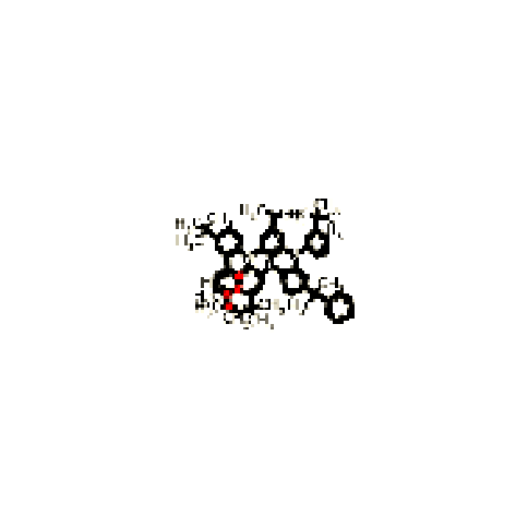 CC(C)c1cc2c3c(c1)N(c1ccc(C(C)(C)C)cc1-c1ccc(C(C)(C)C)cc1)c1cc4c(cc1B3c1ccc(C(C)(C)c3ccccc3)cc1N2c1cccc(C(C)(C)C)c1)C(C)(C)CCC4(C)C